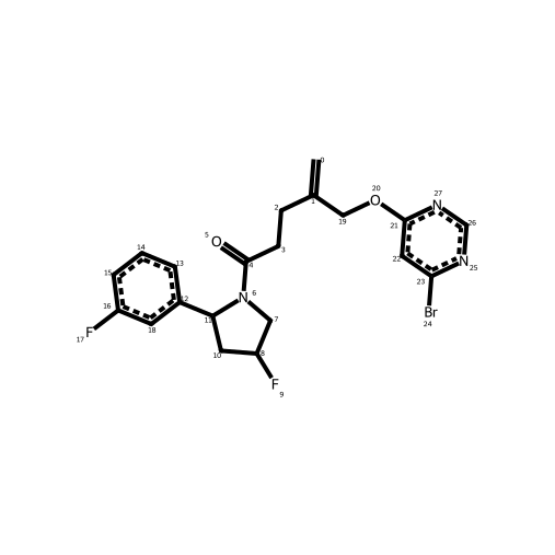 C=C(CCC(=O)N1CC(F)CC1c1cccc(F)c1)COc1cc(Br)ncn1